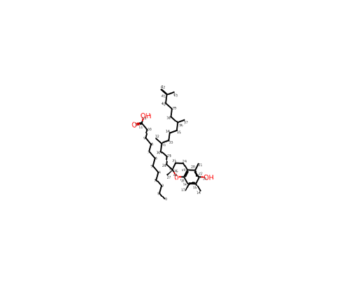 CCCCCCCCCCCC(=O)O.Cc1c(C)c2c(c(C)c1O)CC[C@@](C)(CCCC(C)CCCC(C)CCCC(C)C)O2